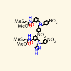 COC(=O)[C@H](CCSC)NC(=O)c1cccc(CN(Cc2ccc([N+](=O)[O-])cc2)Cc2c[nH]cn2)c1.COC(=O)[C@H](CCSC)NC(=O)c1cccc(CN(Cc2ccc([N+](=O)[O-])cc2)Cc2ccc([N+](=O)[O-])cc2)c1